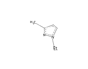 CCn1ccc(C)n1